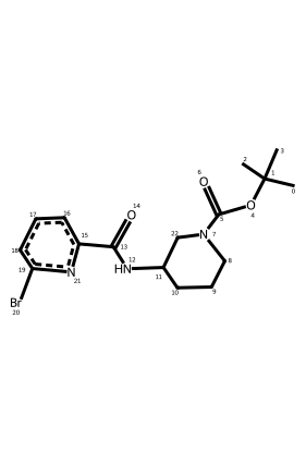 CC(C)(C)OC(=O)N1CCCC(NC(=O)c2cccc(Br)n2)C1